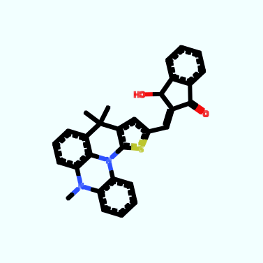 CN1c2ccccc2N2c3sc(/C=C4/C(=O)c5ccccc5C4O)cc3C(C)(C)c3cccc1c32